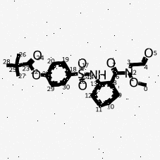 CON(CC=O)C(=O)c1ccccc1NS(=O)(=O)c1ccc(OC(=O)C(C)(C)C)cc1